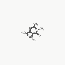 Cc1nn(C)c2c(=O)n(C)c(C)nc12